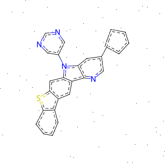 c1ccc(-c2cnc3c4cc5c(cc4n(-c4cncnc4)c3c2)sc2ccccc25)cc1